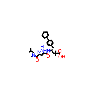 CC(C)CN(C)C(=O)c1cc(C(=O)N[C@H](Cc2ccc(-c3ccccc3)cc2)CC(C)(C)C(=O)O)[nH]n1